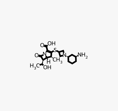 CC(O)[C@H]1C(=O)N2C(C(=O)O)=C(SC3CN([C@H]4CCC[C@H](N)C4)C3)[C@H](C)[C@H]12